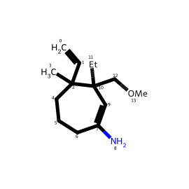 C=CC1(C)CCCC(N)=CC1(CC)COC